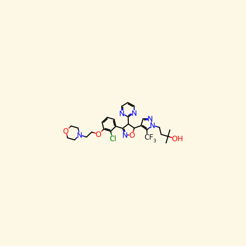 CC(C)(O)CCn1ncc(C2ON=C(c3cccc(OCCN4CCOCC4)c3Cl)C2c2ncccn2)c1C(F)(F)F